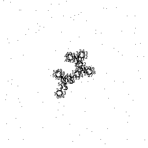 c1ccc(-c2cc3c(s2)c2sc(-c4ccc5c(c4)c4cc6c(cc4n5-c4ccccc4)c4ccccc4n6-c4ccccc4)cc2n3-c2ccccc2)cc1